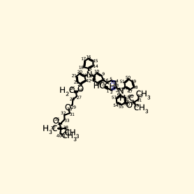 C#C/C=C(\C=C/C(C)c1ccc(N(c2ccccc2)c2cccc(OC(=C)CCCOCCCC(=O)C(C)(CC)CC)c2)cc1)N(c1ccccc1)c1cccc(OC(C)(C)CC)c1